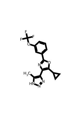 Cc1[nH]nnc1-c1nc(-c2cccc(OC(F)(F)F)c2)oc1C1CC1